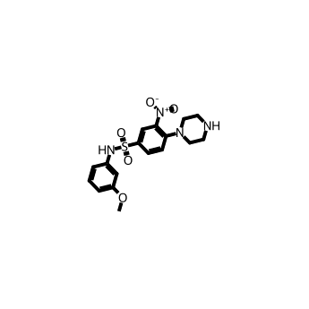 COc1cccc(NS(=O)(=O)c2ccc(N3CCNCC3)c([N+](=O)[O-])c2)c1